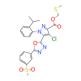 CSCOC(=O)c1nn(-c2ccccc2C(C)C)c(-c2nnc(-c3cccc(S(C)(=O)=O)c3)o2)c1Cl